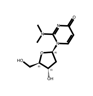 CN(C)c1nc(=O)ccn1[C@H]1C[C@H](O)[C@@H](CO)O1